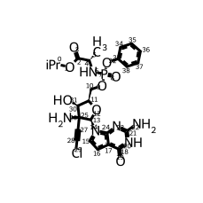 CC(C)OC(=O)[C@H](C)NP(=O)(OC[C@H]1O[C@@H](n2ccc3c(=O)[nH]c(N)nc32)C(N)(C#CCl)[C@H]1O)Oc1ccccc1